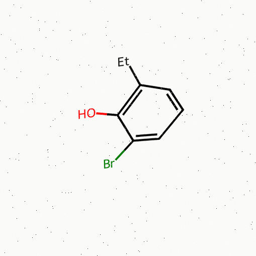 CCc1cccc(Br)c1O